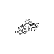 CC[S@](=N)(=O)c1cccc2c(Cl)c([C@H](C)Nc3ncnc4[nH]ccc(=O)c34)n(-c3ccccc3)c(=O)c12